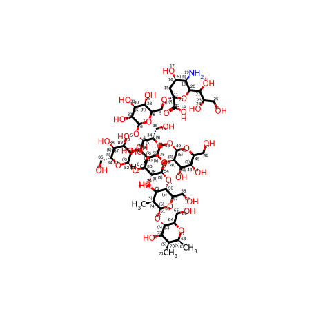 CC1C(O)[C@H](OC2OC(CO[C@]3(C(=O)O)C[C@@H](O)[C@@H](N)C(C(O)C(O)CO)O3)[C@H](O)[C@H](O)C2O)[C@H](CO)O[C@H]1O[C@@H]1C(O)[C@H](O)C(CO)O[C@@H]1OCC1O[C@@H](O[C@@H]2C(CO)O[C@@H](O[C@@H]3C(CO)O[C@@H](C)[C@@H](C)C3O)[C@@H](C)C2O)[C@H](O)C(O[C@H]2O[C@H](CO)[C@@H](O)C(O)C2O)[C@@H]1O